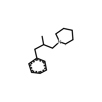 CC(Cc1ccccc1)CN1[CH]CCCC1